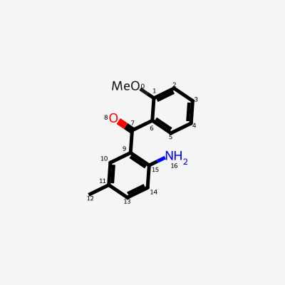 COc1ccccc1C(=O)c1cc(C)ccc1N